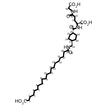 O=C(O)CCCCCCCCCCCCCCCCCCC(=O)NC[C@H]1CC[C@H](C(=O)N[C@@H](CCC(=O)NCC(=O)O)C(=O)O)CC1